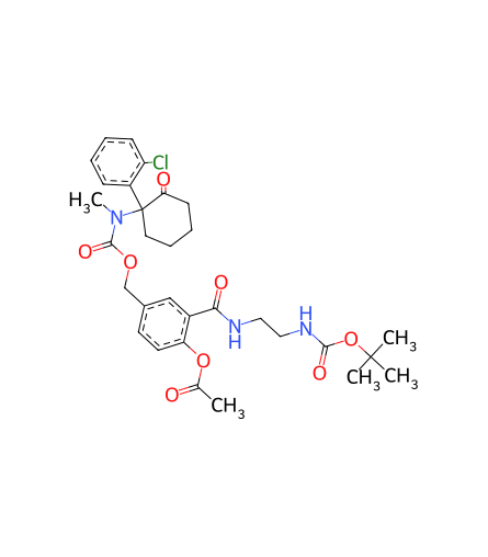 CC(=O)Oc1ccc(COC(=O)N(C)C2(c3ccccc3Cl)CCCCC2=O)cc1C(=O)NCCNC(=O)OC(C)(C)C